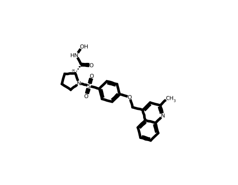 Cc1cc(COc2ccc(S(=O)(=O)N3CCC[C@@H]3C(=O)NO)cc2)c2ccccc2n1